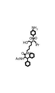 CC(=O)NC(C(=O)NCCCCC(CO)N(CC(C)C)S(=O)(=O)c1ccc(N)cc1)C(c1ccccc1)c1ccccc1